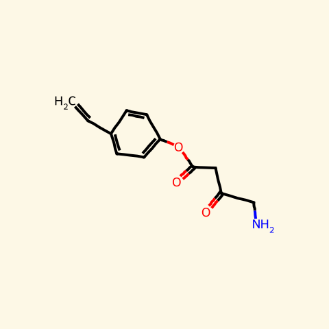 C=Cc1ccc(OC(=O)CC(=O)CN)cc1